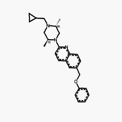 C[C@@H]1CN(c2ccc3cc(COc4ccccc4)ccc3n2)[C@@H](C)CN1CC1CC1